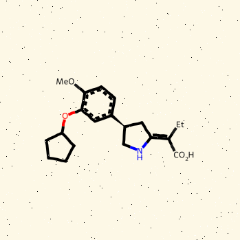 CCC(C(=O)O)=C1C[C@H](c2ccc(OC)c(OC3CCCC3)c2)CN1